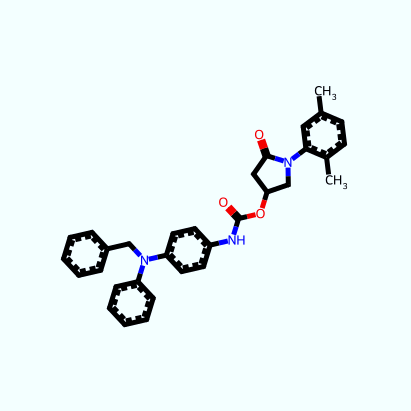 Cc1ccc(C)c(N2CC(OC(=O)Nc3ccc(N(Cc4ccccc4)c4ccccc4)cc3)CC2=O)c1